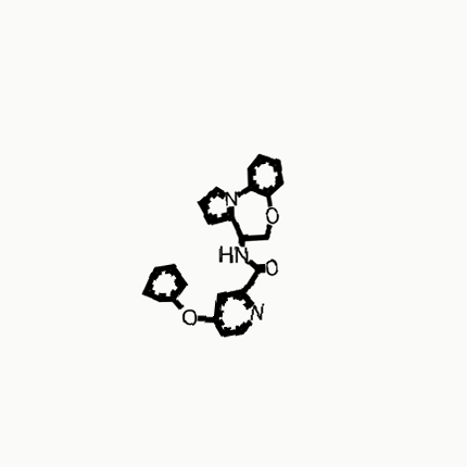 O=C(NC1COc2ccccc2-n2cccc21)c1cc(Oc2ccccc2)ccn1